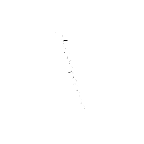 O=CNCC(=O)NCCOCCOCC(=O)NCCCCCCCCCCC(=O)O